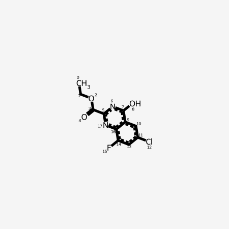 CCOC(=O)c1nc(O)c2cc(Cl)cc(F)c2n1